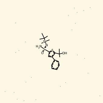 CC(C)(O)c1sc(S(N)(=O)=N[Si](C)(C)C(C)(C)C)cc1-c1ccccc1